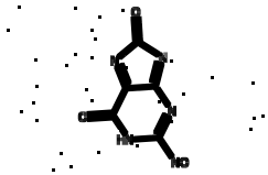 O=Nc1nc2c(c(=O)[nH]1)=NC(=O)N=2